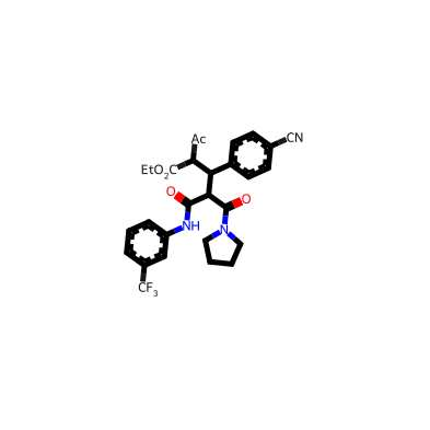 CCOC(=O)C(C(C)=O)C(c1ccc(C#N)cc1)C(C(=O)Nc1cccc(C(F)(F)F)c1)C(=O)N1CCCC1